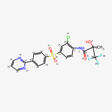 CC(O)(C(=O)Nc1ccc(S(=O)(=O)c2ccc(-c3ncccn3)cc2)cc1Cl)C(F)(F)F